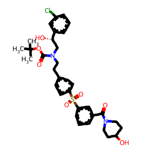 CC(C)(C)OC(=O)N(CCc1ccc(S(=O)(=O)c2cccc(C(=O)N3CCC(O)CC3)c2)cc1)C[C@H](O)c1cccc(Cl)c1